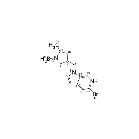 BN1CC(Cn2ccc3cc(Br)ncc32)CC1C